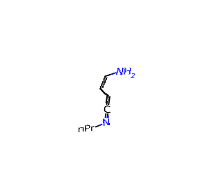 CCCN=C=C/C=C\N